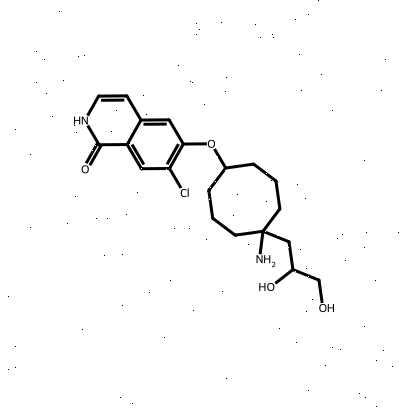 NC1(CC(O)CO)CCCC(Oc2cc3cc[nH]c(=O)c3cc2Cl)CCC1